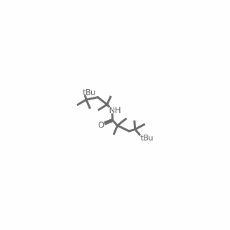 CC(C)(CC(C)(C)C(C)(C)C)NC(=O)C(C)(C)CC(C)(C)C(C)(C)C